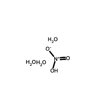 O.O.O.O=[N+]([O-])O